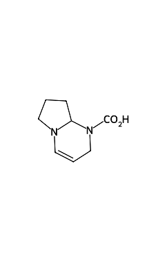 O=C(O)N1CC=CN2CCCC21